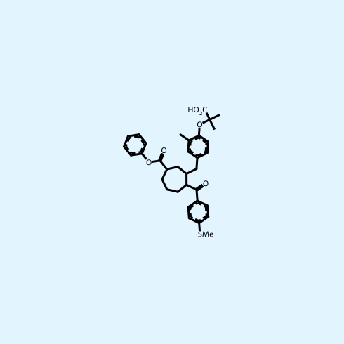 CSc1ccc(C(=O)C2CCCC(C(=O)Oc3ccccc3)CC2Cc2ccc(OC(C)(C)C(=O)O)c(C)c2)cc1